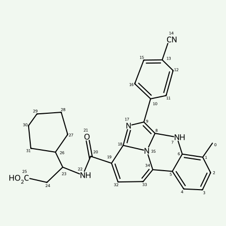 Cc1cccc2c1Nc1c(-c3ccc(C#N)cc3)nc3c(C(=O)NC(CC(=O)O)C4CCCCC4)ccc-2n13